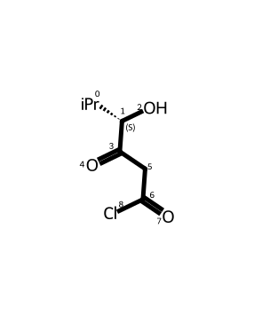 CC(C)[C@H](O)C(=O)CC(=O)Cl